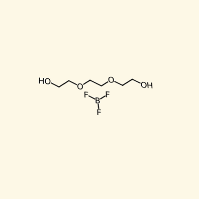 FB(F)F.OCCOCCOCCO